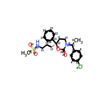 C[C@@H](c1ccc(Cl)cc1)N1CC[C@](CCCNS(C)(=O)=O)(c2ccccc2)OC1=O